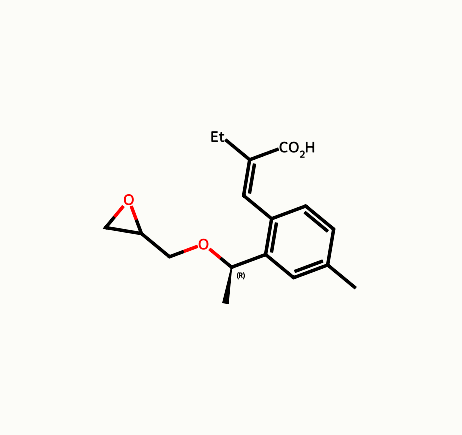 CCC(=Cc1ccc(C)cc1[C@@H](C)OCC1CO1)C(=O)O